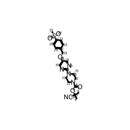 C[C@@H]1CN(C(=O)OC(C)(C)C#N)CCN1c1ncc(OCc2ccc(S(C)(=O)=O)cc2)cn1